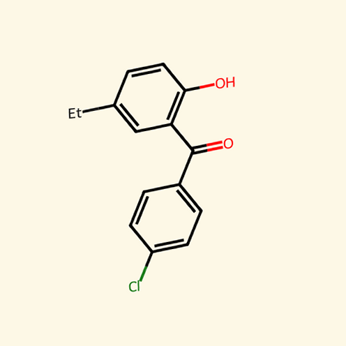 CCc1ccc(O)c(C(=O)c2ccc(Cl)cc2)c1